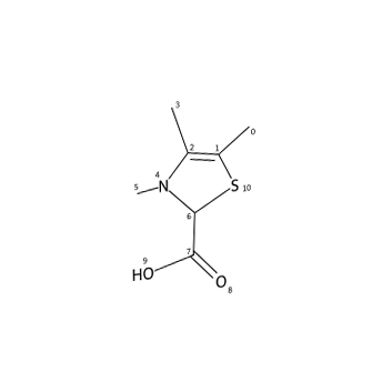 CC1=C(C)N(C)C(C(=O)O)S1